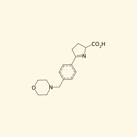 O=C(O)C1CCC(c2ccc(CN3CCOCC3)cc2)=N1